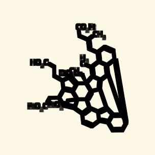 CCOC(=O)C/C(C)=C/c1ccc2c3ccc4c5ccc6c7c8c9c%10c%11c(c(C)c1c2c%11c3c4c%10c75)[C@@]9(CC(=O)OCC)C1=C(C)C(CCC(=O)O)C2=C1C8(CC(=O)OCC)C6=CC2CC(=O)OCC